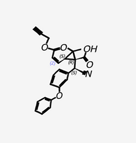 C#CCOC(=O)/C=C\[C@H]1C(C)(C)[C@]1(C(=O)O)[C@@H](C#N)c1cccc(Oc2ccccc2)c1